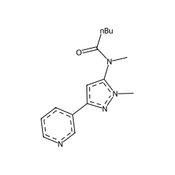 CCCCC(=O)N(C)c1cc(-c2cccnc2)nn1C